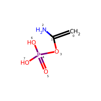 C=C(N)OP(=O)(O)O